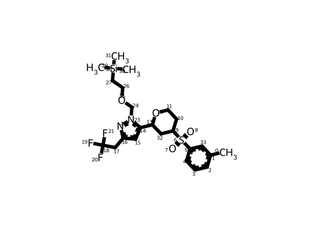 Cc1cccc(S(=O)(=O)C2CCOC(c3cc(CC(F)(F)F)nn3COCC[Si](C)(C)C)C2)c1